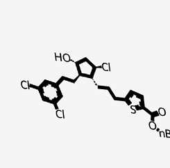 CCCCOC(=O)c1ccc(CCC[C@@H]2[C@@H](CCc3cc(Cl)cc(Cl)c3)[C@H](O)C[C@H]2Cl)s1